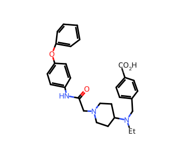 CCN(Cc1ccc(C(=O)O)cc1)C1CCN(CC(=O)Nc2ccc(Oc3ccccc3)cc2)CC1